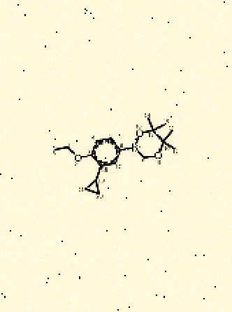 CCOc1ccc(B2COC(C)(C)C(C)(C)O2)cc1C1CC1